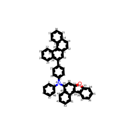 c1ccc(N(c2ccc(-c3cc4ccc5ccccc5c4c4ccccc34)cc2)c2cc3oc4ccccc4c3c3ccccc23)cc1